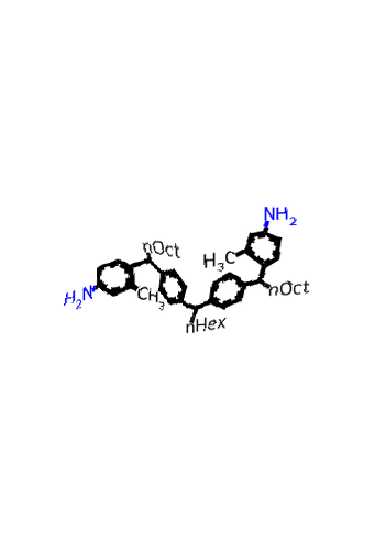 CCCCCCCCC(c1ccc(C(CCCCCC)c2ccc(C(CCCCCCCC)c3ccc(N)cc3C)cc2)cc1)c1ccc(N)cc1C